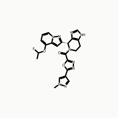 CC(F)Oc1cccn2nc([C@@H]3c4nc[nH]c4CCN3C(=O)c3nnc(-c4cnn(C)c4)o3)cc12